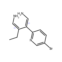 CCC(=C/N)/C(=C\N)c1ccc(Br)cn1